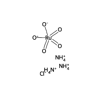 [Cl-].[NH4+].[NH4+].[NH4+].[O]=[Ru](=[O])(=[O])([O-])[O-]